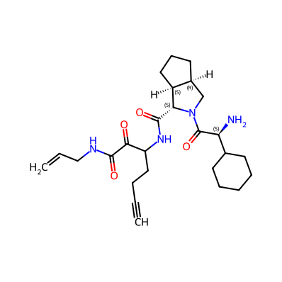 C#CCCC(NC(=O)[C@@H]1[C@H]2CCC[C@H]2CN1C(=O)[C@@H](N)C1CCCCC1)C(=O)C(=O)NCC=C